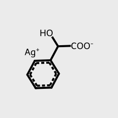 O=C([O-])C(O)c1ccccc1.[Ag+]